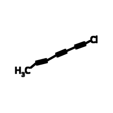 CC#CC#CC#CCl